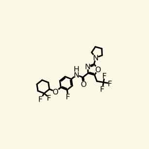 O=C(Nc1ccc(OC2CCCCC2(F)F)c(F)c1)c1nc(N2CCCC2)oc1CC(F)(F)F